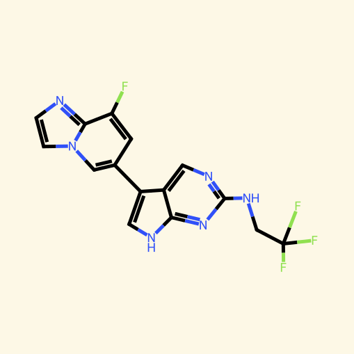 Fc1cc(-c2c[nH]c3nc(NCC(F)(F)F)ncc23)cn2ccnc12